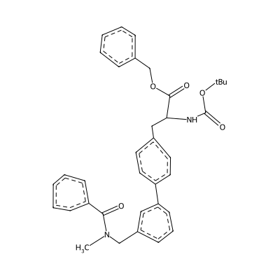 CN(Cc1cccc(-c2ccc(CC(NC(=O)OC(C)(C)C)C(=O)OCc3ccccc3)cc2)c1)C(=O)c1ccccc1